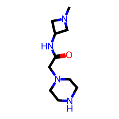 CN1CC(NC(=O)CN2CCNCC2)C1